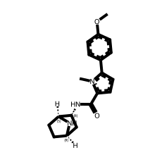 COc1ccc(-c2ccc(C(=O)N[C@@H]3C[C@H]4CC[C@@H]3N4)n2C)cc1